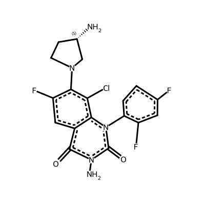 N[C@H]1CCN(c2c(F)cc3c(=O)n(N)c(=O)n(-c4ccc(F)cc4F)c3c2Cl)C1